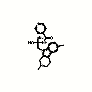 CCCCC(O)(Cn1c2c(c3cc(C)ccc31)CCN(C)C2)NC(=O)c1ccncc1